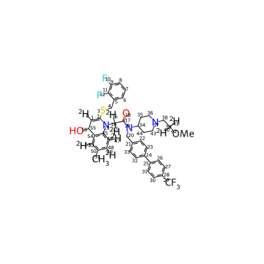 [2H]C1=C(SCc2cccc(F)c2F)N(C([2H])([2H])C(=O)N(Cc2ccc(-c3ccc(C(F)(F)F)cc3)cc2)C2CCN(CC([2H])([2H])OC)CC2)c2c([2H])c([2H])c(C)c([2H])c2C1O